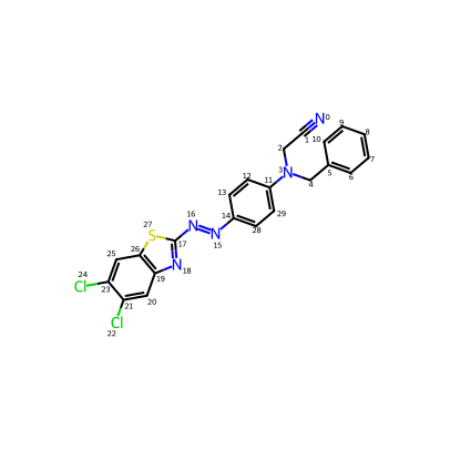 N#CCN(Cc1ccccc1)c1ccc(N=Nc2nc3cc(Cl)c(Cl)cc3s2)cc1